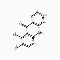 Nc1ccc(Cl)c(Cl)c1C(=O)c1ccncc1